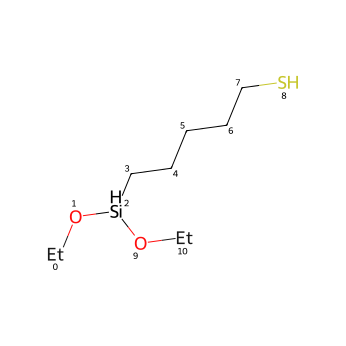 CCO[SiH](CCCCCS)OCC